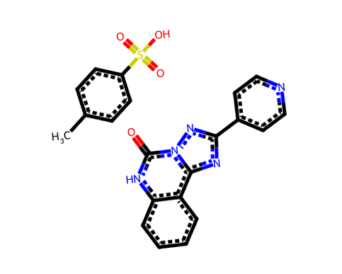 Cc1ccc(S(=O)(=O)O)cc1.O=c1[nH]c2ccccc2c2nc(-c3ccncc3)nn12